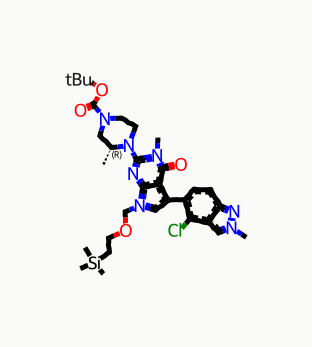 C[C@@H]1CN(C(=O)OC(C)(C)C)CCN1c1nc2c(c(-c3ccc4nn(C)cc4c3Cl)cn2COCC[Si](C)(C)C)c(=O)n1C